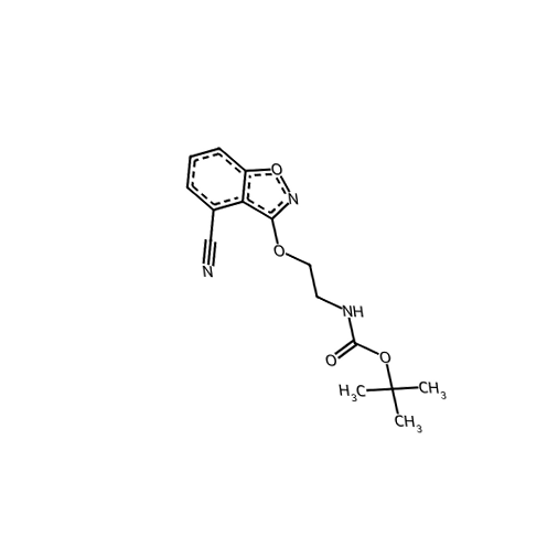 CC(C)(C)OC(=O)NCCOc1noc2cccc(C#N)c12